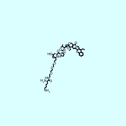 CCc1c2c(nc3ccccc13)-c1cc3c(c(=O)n1C2)COC(=O)[C@@]3(CC)OC(=O)C(NC(=O)[C@@H]1CCCN1C(=O)[C@H](CC(=O)O)NC(=O)CCOCCOCCOCCNC(=O)[C@@H](N)CCCCN)C(C)C